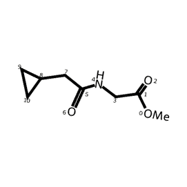 COC(=O)CNC(=O)CC1CC1